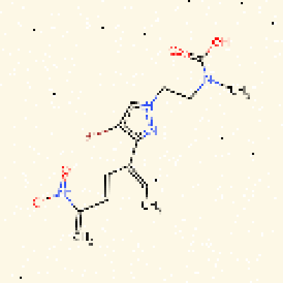 C=C(C=CC(=CC)c1nn(CCN(C)C(=O)O)cc1Br)[N+](=O)[O-]